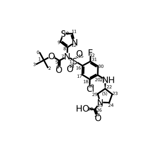 CC(C)(C)OC(=O)N(c1cscn1)S(=O)(=O)c1cc(Cl)c(N[C@H]2CCN(C(=O)O)C2)cc1F